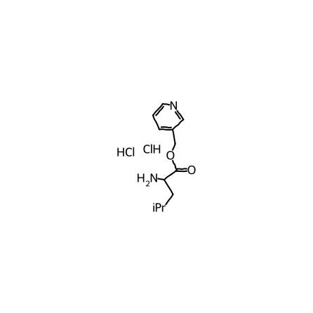 CC(C)CC(N)C(=O)OCc1cccnc1.Cl.Cl